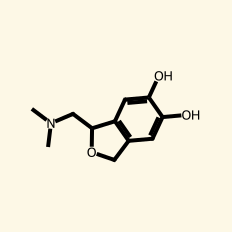 CN(C)CC1OCc2cc(O)c(O)cc21